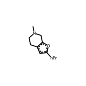 CCCc1cc2c(o1)CN(C)CC2